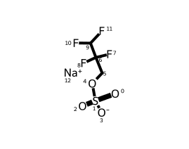 O=S(=O)([O-])OCC(F)(F)C(F)F.[Na+]